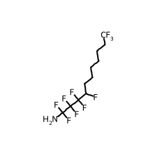 NC(F)(F)C(F)(F)C(F)(F)C(F)CCCCCCC(F)(F)F